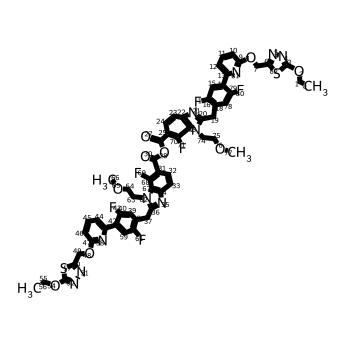 CCOc1nnc(COc2cccc(-c3cc(F)c(Cc4nc5ccc(C(=O)OC(=O)c6ccc7nc(Cc8cc(F)c(-c9cccc(OCc%10nnc(OCC)s%10)n9)cc8F)n(CCOC)c7c6F)c(F)c5n4CCOC)cc3F)n2)s1